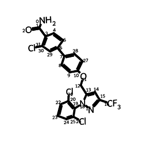 NC(=O)c1ccc(-c2ccc(OCc3cc(C(F)(F)F)nn3-c3c(Cl)cccc3Cl)cc2)cc1Cl